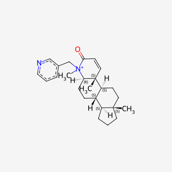 C[C@@]12CCC[C@H]1[C@@H]1CC[C@@H]3[C@](C)(C=CC(=O)[N+]3(C)Cc3cccnc3)[C@H]1CC2